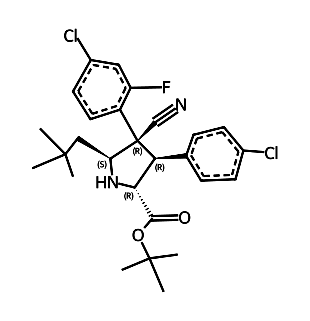 CC(C)(C)C[C@@H]1N[C@@H](C(=O)OC(C)(C)C)[C@H](c2ccc(Cl)cc2)[C@@]1(C#N)c1ccc(Cl)cc1F